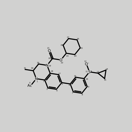 CC(=O)N1c2ccc(-c3cccc([S+]([O-])C4CC4)c3)cc2N(C(=O)OC2CCCCC2)CC1C